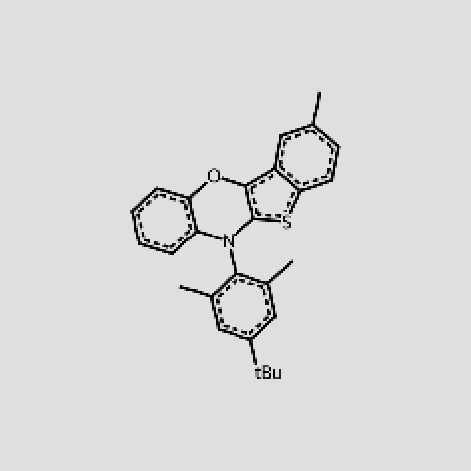 Cc1ccc2sc3c(c2c1)Oc1ccccc1N3c1c(C)cc(C(C)(C)C)cc1C